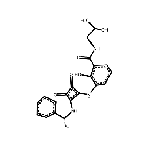 CC[C@@H](Nc1c(Nc2cccc(C(=O)NCC(C)O)c2O)c(=O)c1=O)c1ccccc1